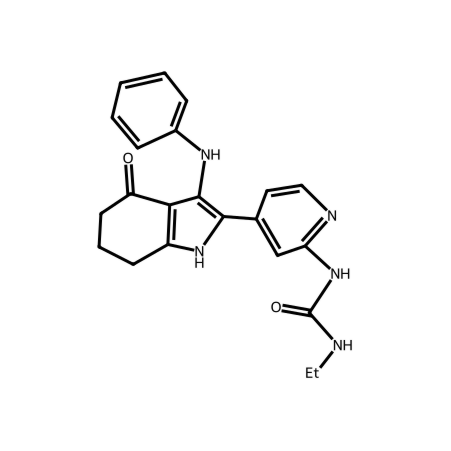 CCNC(=O)Nc1cc(-c2[nH]c3c(c2Nc2ccccc2)C(=O)CCC3)ccn1